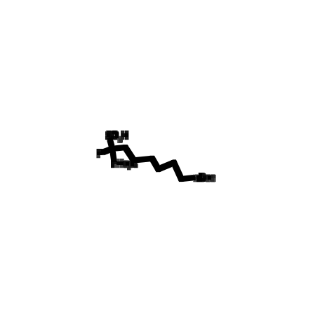 CCCCCCCCCCCCCCCCC(F)(CCCCCCC)S(=O)(=O)O